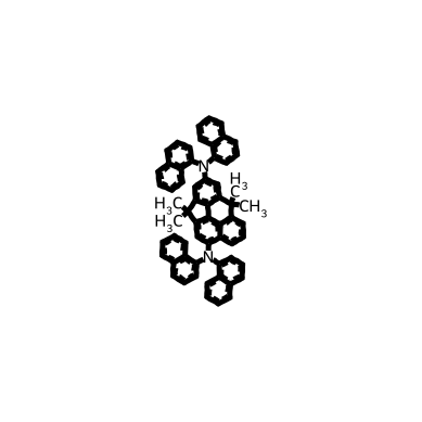 CC1(C)c2cc(N(c3cccc4ccccc34)c3cccc4ccccc34)cc3c2-c2c1cc(N(c1cccc4ccccc14)c1cccc4ccccc14)c1cccc(c21)C3(C)C